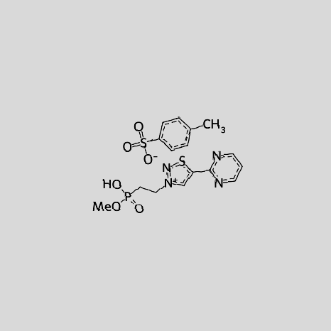 COP(=O)(O)CC[n+]1cc(-c2ncccn2)sn1.Cc1ccc(S(=O)(=O)[O-])cc1